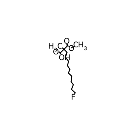 COC(=O)C(C)(CCCCCCCCCCCF)C(=O)O